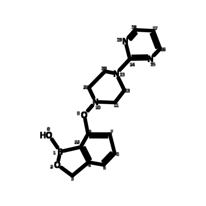 OB1OCc2cccc(ON3CCN(c4ncccn4)CC3)c21